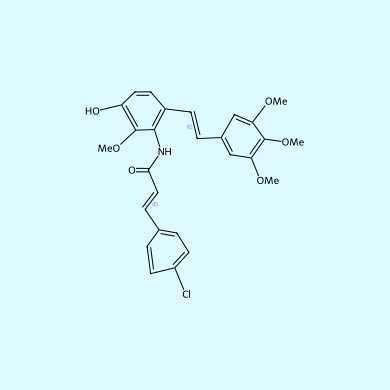 COc1cc(/C=C/c2ccc(O)c(OC)c2NC(=O)/C=C/c2ccc(Cl)cc2)cc(OC)c1OC